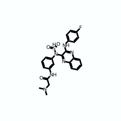 CN(C)CC(=O)Nc1cccc(N(c2nc3ccccc3nc2Nc2ccc(F)cc2)[SH](=O)=O)c1